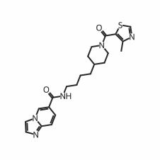 Cc1ncsc1C(=O)N1CCC(CCCCNC(=O)c2ccc3nccn3c2)CC1